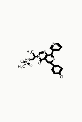 CC(CNS(C)(=O)=O)n1cnc2c(-c3cccnc3)nc(-c3ccc(Cl)cc3)cc2c1=O